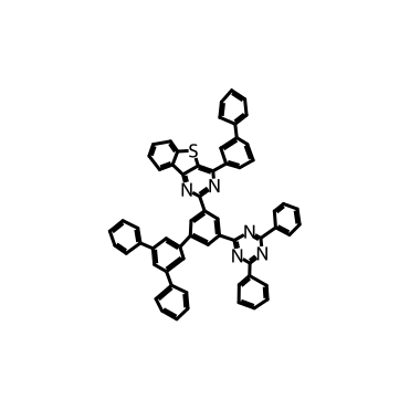 c1ccc(-c2cc(-c3ccccc3)cc(-c3cc(-c4nc(-c5ccccc5)nc(-c5ccccc5)n4)cc(-c4nc(-c5cccc(-c6ccccc6)c5)c5sc6ccccc6c5n4)c3)c2)cc1